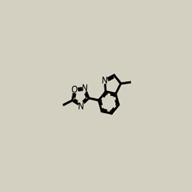 Cc1nc(-c2cccc3c2N=CC3C)no1